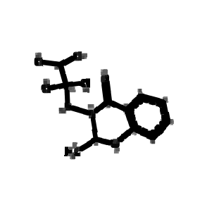 CC1Oc2ccccc2C(=O)N1SC(Cl)(Cl)C(Cl)Cl